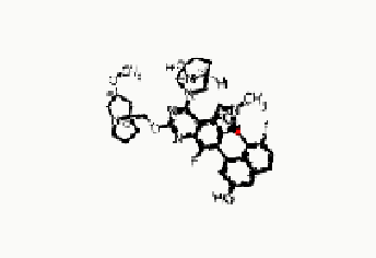 C#Cc1c(F)ccc2cc(O)cc(-c3c(F)c4nc(OC[C@@]56CCCN5C[C@H](OC)C6)nc(N5C[C@H]6CC[C@@H](C5)N6)c4c4cn(C)nc34)c12